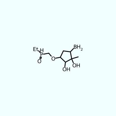 BC1CC(OC[PH](=O)CC)C(O)C1(C)O